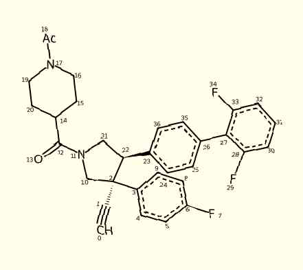 C#C[C@]1(c2ccc(F)cc2)CN(C(=O)C2CCN(C(C)=O)CC2)C[C@H]1c1ccc(-c2c(F)cccc2F)cc1